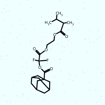 CC(C)C(C)C(=O)OCCOC(=O)C(F)(F)OC(=O)C12CC3CC(CC(C3)C1)C2